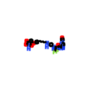 O=C1NC(=O)c2c(Oc3ccc(CCCCCNC[C@H]4CC[C@H](n5cc(NC(=O)c6cnn7ccc(N8CCOCC8)nc67)c(C(F)F)n5)CC4)cc3)cccc2C1=O